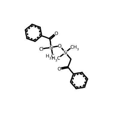 C[Si](C)(CC(=O)c1ccccc1)O[Si](C)(Cl)C(=O)c1ccccc1